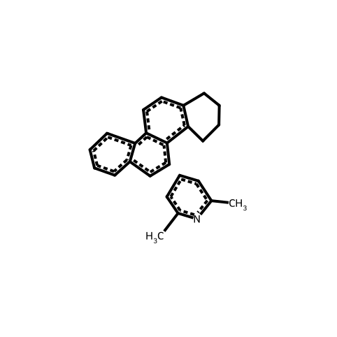 Cc1cccc(C)n1.c1ccc2c(c1)ccc1c3c(ccc12)CCCC3